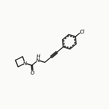 O=C(NCC#Cc1ccc(Cl)cc1)N1CCC1